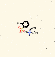 CC(C)c1ccccc1S(=O)(=O)[O-].CCCCCCCC[N+](C)(CC#N)CCCCCCCC